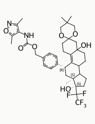 Cc1noc(C)c1NC(=O)OCc1ccc([C@H]2C[C@@]3(C)C(CC[C@@]3(O)C(F)(F)C(F)(F)F)C3CCC4(O)CC5(CCC4=C32)OCC(C)(C)CO5)cc1